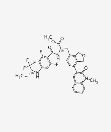 CC[C@@H](Nc1cc(F)c(C(=O)N[C@@H](Cc2ccc(-c3cc4ccccc4n(C)c3=O)c3c2COC3)C(=O)OC)c(F)c1)C(F)(F)F